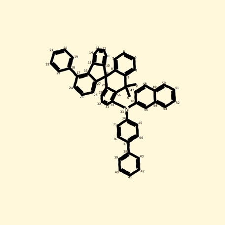 CC1(C)c2ccccc2C2(c3ccccc3-c3c(-c4ccccc4)cccc32)c2cccc(N(c3ccc(-c4ccccc4)cc3)c3ccc4ccccc4c3)c21